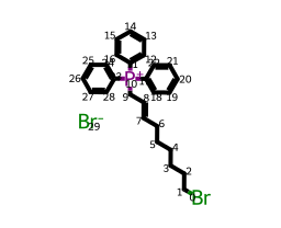 BrCCCCCCC=CC[P+](c1ccccc1)(c1ccccc1)c1ccccc1.[Br-]